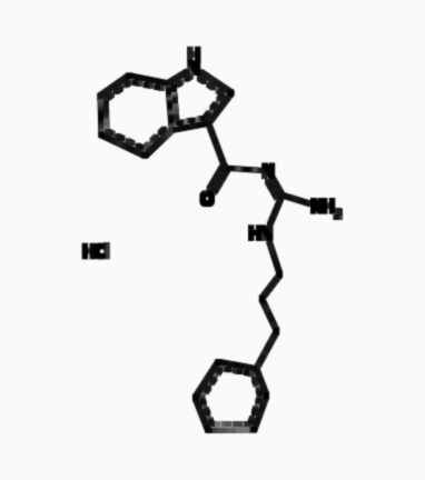 Cl.NC(=NC(=O)c1c[nH]c2ccccc12)NCCCc1ccccc1